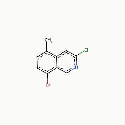 Cc1ccc(Br)c2cnc(Cl)cc12